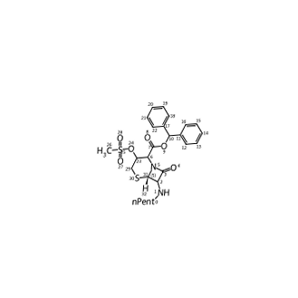 CCCCCNC1C(=O)N2C(C(=O)OC(c3ccccc3)c3ccccc3)C(OS(C)(=O)=O)CS[C@@H]12